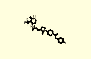 C=C1NN=CC(NC(C)CCC2CCN(C3CCN(C(=C)Cc4ccc(F)cc4)CC3)C2=C)=C1C(F)(F)F